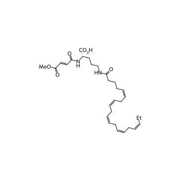 CC/C=C\C/C=C\C/C=C\C/C=C\C/C=C\CCCC(=O)NCCC[C@H](NC(=O)/C=C/C(=O)OC)C(=O)O